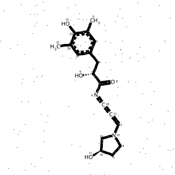 Cc1cc(C[C@@H](O)C(=O)N=C=C=CN2CC[C@@H](O)C2)cc(C)c1O